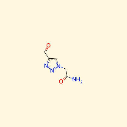 NC(=O)Cn1cc(C=O)nn1